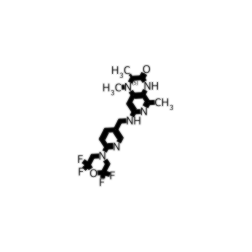 Cc1nc(NCc2ccc(N3CC(F)(F)OC(F)(F)C3)nc2)cc2c1NC(=O)[C@H](C)N2C